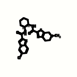 CN1CCc2nc(C(=O)N[C@@H]3CCCC[C@@H]3NC(=O)c3cn4cc(Cl)ccc4n3)sc2C1